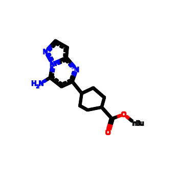 CCCCOC(=O)C1CCC(c2cc(N)n3nccc3n2)CC1